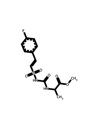 COC(=O)C(C)NC(=O)NS(=O)(=O)C=Cc1ccc(F)cc1